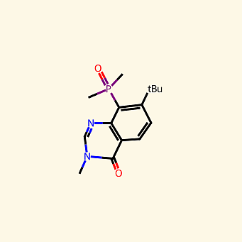 Cn1cnc2c(P(C)(C)=O)c(C(C)(C)C)ccc2c1=O